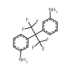 Nc1cccc(C(c2cccc(N)c2)(C(F)(F)F)C(F)(F)F)c1